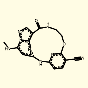 CNc1cc2nc3c(cnn13)C(=O)NCCOc1nc(ccc1C#N)N2